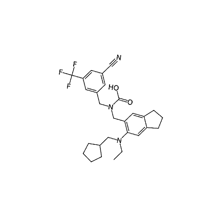 CCN(CC1CCCC1)c1cc2c(cc1CN(Cc1cc(C#N)cc(C(F)(F)F)c1)C(=O)O)CCC2